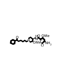 COc1cc(N)c(Cl)cc1C(=O)NC[C@@H]1CCN(CCCCCC(=O)c2ccccc2)C[C@@H]1OC